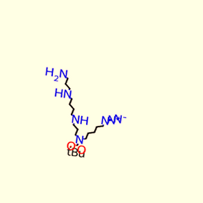 CC(C)(C)OC(=O)N(CCCCCN=[N+]=[N-])CCCNCCCCNCCCN